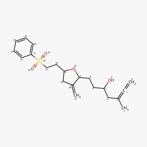 C=C=C(C)CC(O)CCC1OC(CCS(=O)(=O)c2ccccc2)CC1=C